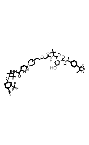 Cc1ncsc1-c1ccc([C@H](C)NC(=O)[C@@H]2C[C@@H](O)CN2C(=O)[C@@H](NC(=O)COCCN2CCN(c3ccc(C(=O)NC4C(C)(C)C(Oc5ccc(C#N)c(C(F)(F)F)c5)C4(C)C)nn3)CC2)C(C)(C)C)cc1